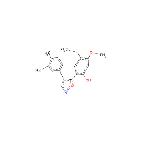 CCc1cc(-c2oncc2-c2ccc(C)c(C)c2)c(O)cc1OC